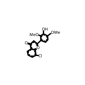 COc1ccc(-c2cc(=O)c3cccc(Cl)c3o2)c(OC)c1O